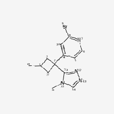 CC1CC(c2ccnc(Br)c2)(c2nncn2C)C1